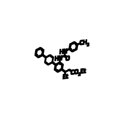 CCOC(=O)CC(CC)c1ccc(C2CCC(c3ccccc3)CC2)c(NC(=O)Nc2ccc(C)cc2)c1